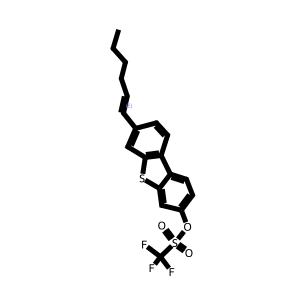 CCCC/C=C/c1ccc2c(c1)sc1cc(OS(=O)(=O)C(F)(F)F)ccc12